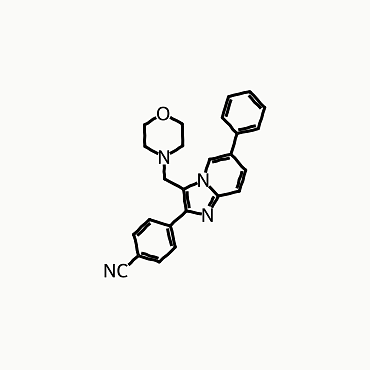 N#Cc1ccc(-c2nc3ccc(-c4ccccc4)cn3c2CN2CCOCC2)cc1